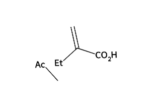 C=C(CC)C(=O)O.CC(C)=O